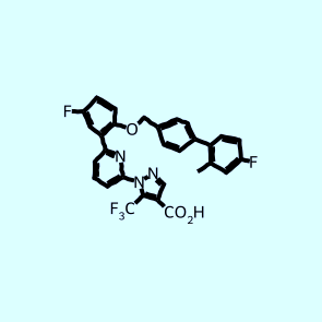 Cc1cc(F)ccc1-c1ccc(COc2ccc(F)cc2-c2cccc(-n3ncc(C(=O)O)c3C(F)(F)F)n2)cc1